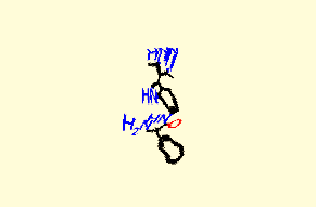 Cc1n[nH]c(C)c1-c1c[nH]c2c(NC(=O)[C@H](CN)c3ccccc3)cccc12